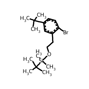 CC(C)(C)c1ccc(Br)c(CCO[Si](C)(C)C(C)(C)C)c1